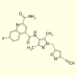 C#Cc1cc(Cn2nc(C)c(NC(=O)c3cc(C(N)=O)nc4cc(F)ccc34)c2C)on1